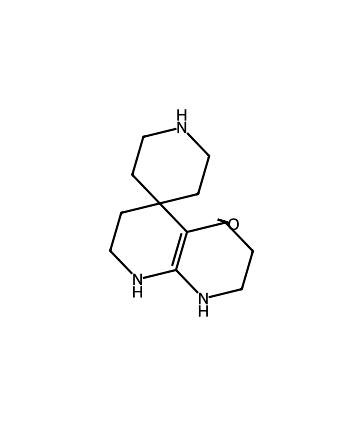 C1CC2(CCN1)CCNC1=C2C2(CCN1)CCOC2